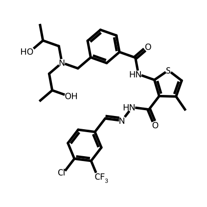 Cc1csc(NC(=O)c2cccc(CN(CC(C)O)CC(C)O)c2)c1C(=O)NN=Cc1ccc(Cl)c(C(F)(F)F)c1